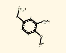 CCCOc1ccc(CC(=O)O)cc1OC